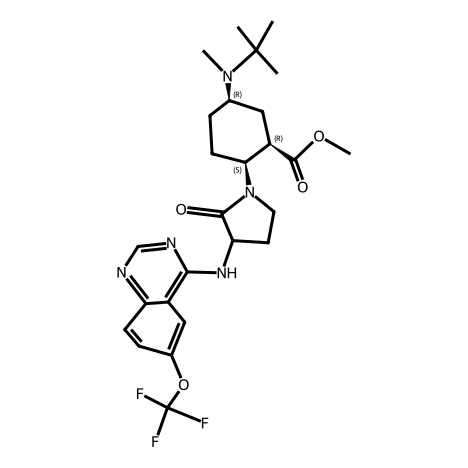 COC(=O)[C@@H]1C[C@H](N(C)C(C)(C)C)CC[C@@H]1N1CCC(Nc2ncnc3ccc(OC(F)(F)F)cc23)C1=O